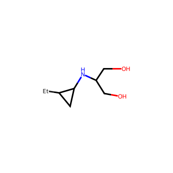 CCC1CC1NC(CO)CO